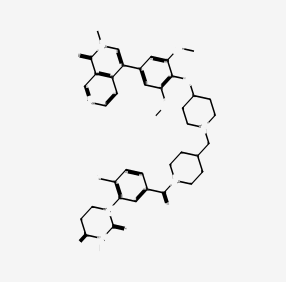 COc1cc(-c2cn(C)c(=O)c3cnccc23)cc(OC)c1OC1CCN(CC2CCN(C(=O)c3ccc(Cl)c(N4CCC(=O)NC4=O)c3)CC2)CC1